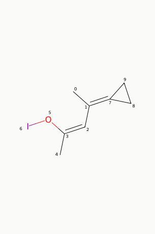 CC(/C=C(/C)OI)=C1CC1